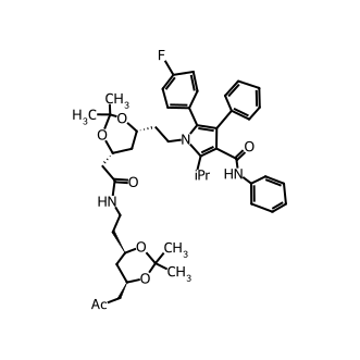 CC(=O)C[C@H]1C[C@@H](CCNC(=O)C[C@H]2C[C@@H](CCn3c(-c4ccc(F)cc4)c(-c4ccccc4)c(C(=O)Nc4ccccc4)c3C(C)C)OC(C)(C)O2)OC(C)(C)O1